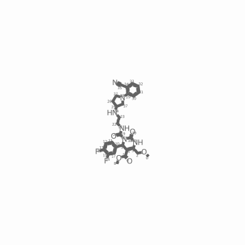 COCC1=C(C(=O)OC)C(c2ccc(F)c(F)c2)N(C(=O)NCCNC2CCN(c3ccccc3C#N)C2)C(=O)N1